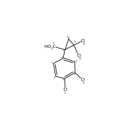 O=C(O)C1(c2ccc(Cl)c(Cl)c2)CC1(Cl)Cl